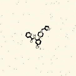 O=C(Nc1cc(C(F)(F)F)ccc1N1CCN(Cc2ccoc2)CC1)c1ccccn1